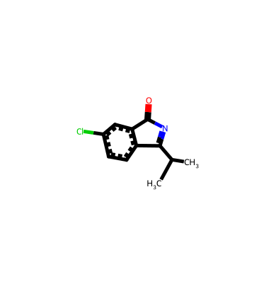 CC(C)C1=NC(=O)c2cc(Cl)ccc21